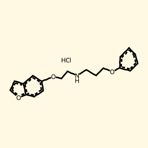 Cl.c1ccc(OCCCNCCOc2ccc3occc3c2)cc1